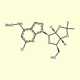 CONc1cc(Cl)nc2c1cnn2[C@@H]1O[C@H](CO)[C@H]2OC(C)(C)O[C@H]21